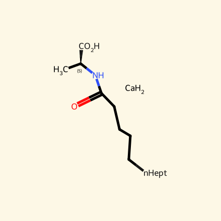 CCCCCCCCCCCC(=O)N[C@@H](C)C(=O)O.[CaH2]